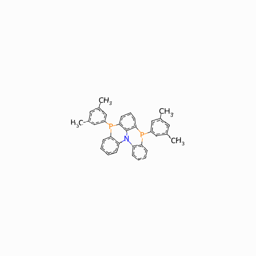 Cc1cc(C)cc(P2c3ccccc3N3c4ccccc4P(c4cc(C)cc(C)c4)c4cccc2c43)c1